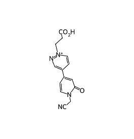 N#CCn1ccc(-c2cc[n+](CCC(=O)O)nc2)cc1=O